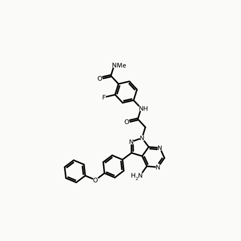 CNC(=O)c1ccc(NC(=O)Cn2nc(-c3ccc(Oc4ccccc4)cc3)c3c(N)ncnc32)cc1F